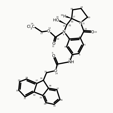 O=C(Nc1ccc2c(c1)N(C(=O)OCC(Cl)(Cl)Cl)[C@@H](O)[C@@H]1CCCN1C2=O)OCC1c2ccccc2-c2ccccc21